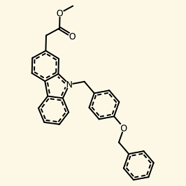 COC(=O)Cc1ccc2c3ccccc3n(Cc3ccc(OCc4ccccc4)cc3)c2c1